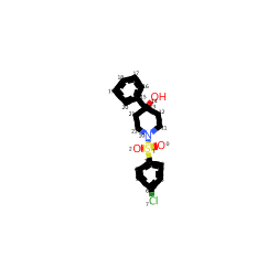 O=S(=O)(c1ccc(Cl)cc1)N1CCC(O)(c2ccccc2)CC1